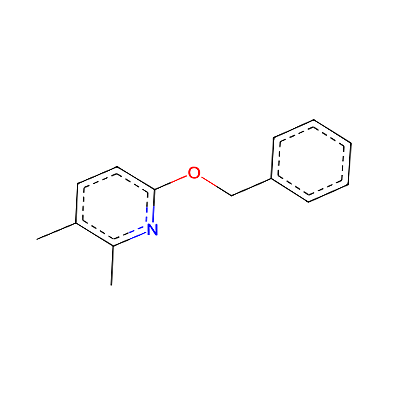 Cc1ccc(OCc2ccccc2)nc1C